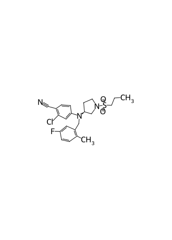 CCCS(=O)(=O)N1CC[C@H](N(Cc2cc(F)ccc2C)c2ccc(C#N)c(Cl)c2)C1